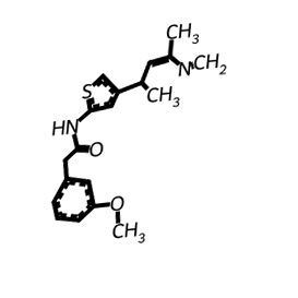 C=N/C(C)=C\C(C)c1csc(NC(=O)Cc2cccc(OC)c2)c1